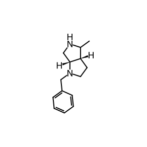 CC1NC[C@@H]2[C@H]1CCN2Cc1ccccc1